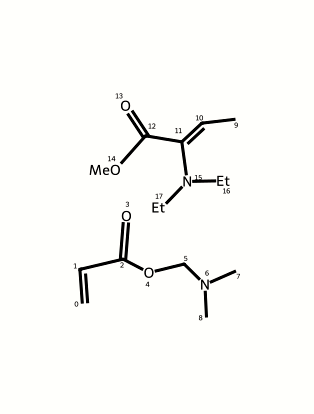 C=CC(=O)OCN(C)C.CC=C(C(=O)OC)N(CC)CC